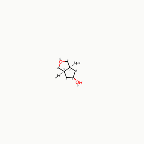 O[C@H]1C[C@H]2COC[C@H]2C1